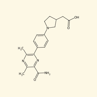 Cc1nc(C)c(-c2ccc(N3CCC(CC(=O)O)C3)cc2)nc1C(N)=O